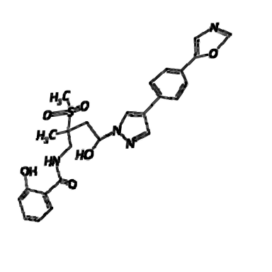 CC(CNC(=O)c1ccccc1O)(CC(O)n1cc(-c2ccc(-c3cnco3)cc2)cn1)S(C)(=O)=O